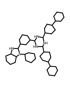 C1CCC(C2CCC(C3NC(C4CCC(C5CCCCC5)CC4)NC(C4CCCC(C5NC6CCCCC6N5C5CCCCC5)C4)N3)CC2)CC1